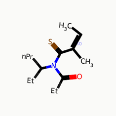 C/C=C(/C)C(=S)N(C(=O)CC)C(CC)CCC